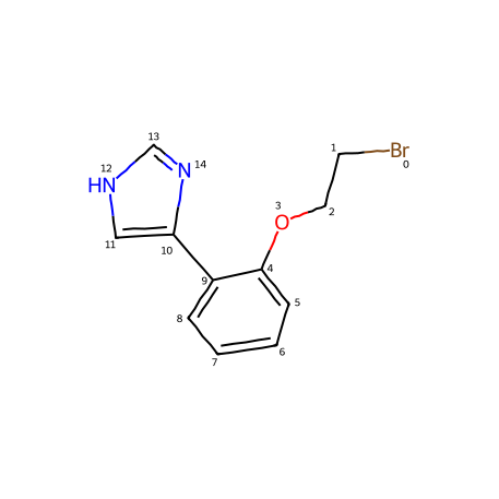 BrCCOc1ccccc1-c1c[nH]cn1